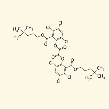 CC(C)(C)CCCOC(=O)c1c(Cl)c(Cl)cc(Cl)c1OC(=O)C(=O)Oc1c(Cl)cc(Cl)c(Cl)c1C(=O)OCCCC(C)(C)C